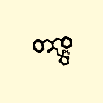 CC1(CCC(=O)N(Cc2ccccc2)Cc2ccccc2)OCCO1